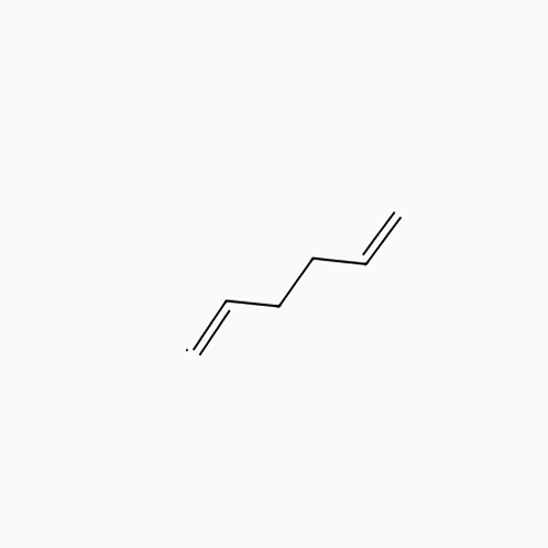 [CH]=CCCC=C